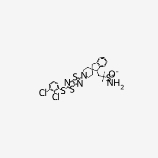 CC(C)(C[C@@H]1c2ccccc2CC12CCN(c1nc3sc(Sc4cccc(Cl)c4Cl)nc3s1)CC2)[S+](N)[O-]